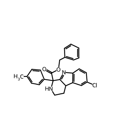 Cc1ccc(C2(C(=O)OCc3ccccc3)NCCC3C2=Nc2ccc(Cl)cc23)cc1